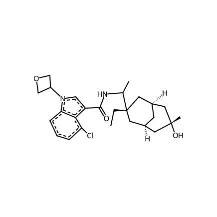 CC[C@@]1(C(C)NC(=O)c2cn(C3COC3)c3cccc(Cl)c23)C[C@@H]2C[C@@H](C[C@@](C)(O)C2)C1